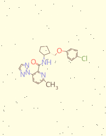 Cc1ccc(-n2nccn2)c(C(=O)N[C@H]2CCC[C@@H]2COc2ccc(Cl)cc2)n1